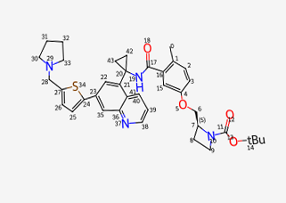 Cc1ccc(OC[C@@H]2CCN2C(=O)OC(C)(C)C)cc1C(=O)NC1(c2cc(-c3ccc(CN4CCCC4)s3)cc3ncccc23)CC1